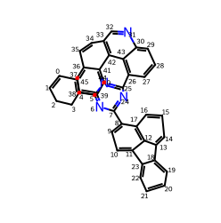 C1=CCCC(c2nc(-c3ccc4c5c(cccc35)-c3ccccc3-4)nc(-c3cccc4ncc5ccc6ccccc6c5c34)n2)=C1